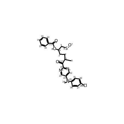 CC(CCC(C[S+]=O)OC(=O)c1ccccc1)C(=O)c1ncc(N(C)c2ccc(Cl)cc2)cn1